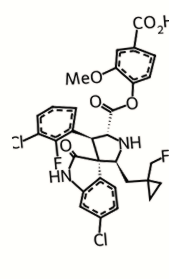 COc1cc(C(=O)O)ccc1OC(=O)[C@@H]1N[C@@H](CC2(CF)CC2)[C@@]2(C(=O)Nc3cc(Cl)ccc32)[C@H]1c1cccc(Cl)c1F